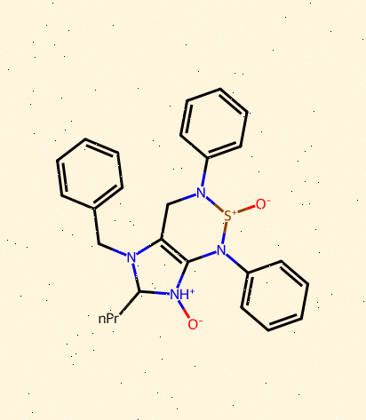 CCCC1N(Cc2ccccc2)C2=C(N(c3ccccc3)[S+]([O-])N(c3ccccc3)C2)[NH+]1[O-]